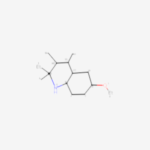 CCOC1CCC2NC(C)(CC)C(C)C(C)C2C1